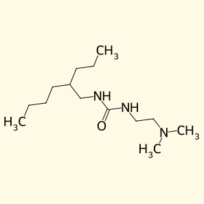 CCCCC(CCC)CNC(=O)NCCN(C)C